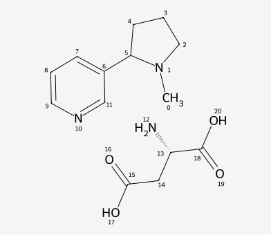 CN1CCCC1c1cccnc1.N[C@@H](CC(=O)O)C(=O)O